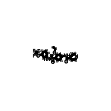 CCOc1cc(NC(=O)c2ccncc2)ccc1S(=O)(=O)Nc1cccc(OC(F)(F)F)c1